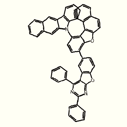 c1ccc2ccc3oc4c(-c5ccc6oc7nc(-c8ccccc8)nc(-c8ccccc8)c7c6c5)ccc(-n5c6c(c7cc8ccccc8cc75)C=CCC6)c4c3c2c#1